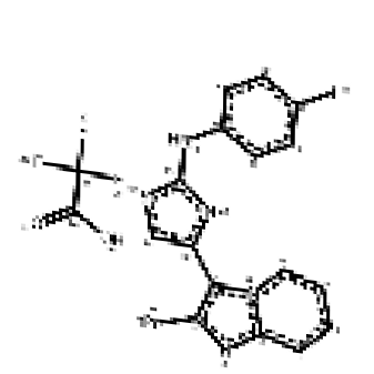 CCCc1nc2ccccn2c1-c1csc(Nc2ccc(I)cc2)n1.O=C(O)C(F)(F)F